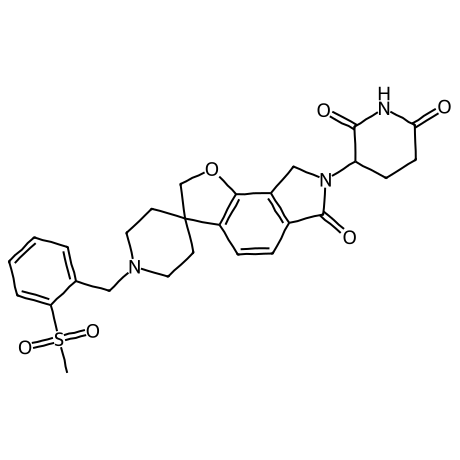 CS(=O)(=O)c1ccccc1CN1CCC2(CC1)COc1c2ccc2c1CN(C1CCC(=O)NC1=O)C2=O